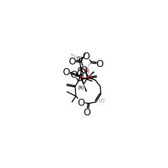 C=C1C(C)(C)OC(=O)/C=C\CC[C@]2(C)C13O[C@@]14C(=O)O[C@](C)(C(=C)[C@]12C(=O)O[C@H]4C)[C@@H]3OC(C)=O